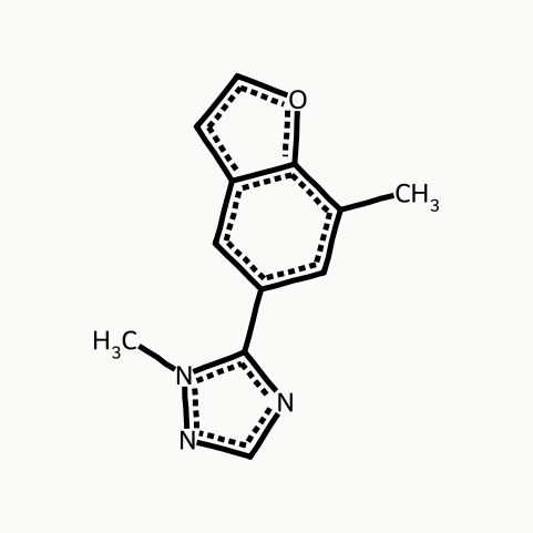 Cc1cc(-c2ncnn2C)cc2ccoc12